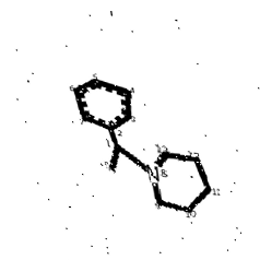 CC(c1ccccc1)N1CC[CH]CC1